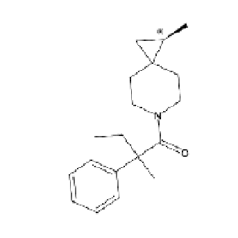 CCC(C)(C(=O)N1CCC2(CC1)C[C@H]2C)c1ccccc1